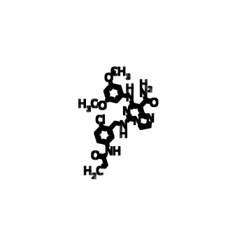 C=CC(=O)Nc1ccc(Cl)c(CNc2nc(Nc3cc(OC)cc(OC)c3)c(C(N)=O)c3nccn23)c1